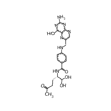 CC(=O)CC[C@H](NC(=O)c1ccc(NCc2cnc3nc(N)nc(O)c3n2)cc1)C(O)O